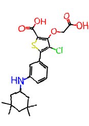 CC1(C)CC(Nc2cccc(-c3sc(C(=O)O)c(OCC(=O)O)c3Cl)c2)CC(C)(C)C1